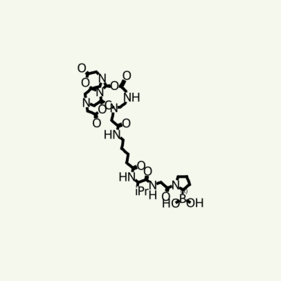 CC(C)C(NC(=O)CCCCNC(=O)CN1CCNCC(=O)OC2(C)N3CC(=O)OC4(CN5CC(=O)OC(C1)(C5)N42)C3)C(=O)NCC(=O)N1CCC[C@H]1B(O)O